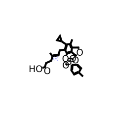 C/C(=C\Cc1c(OS(=O)(=O)c2ccc(C)cc2)c2c(c(C)c1C1CC1)COC2=O)CCC(=O)O